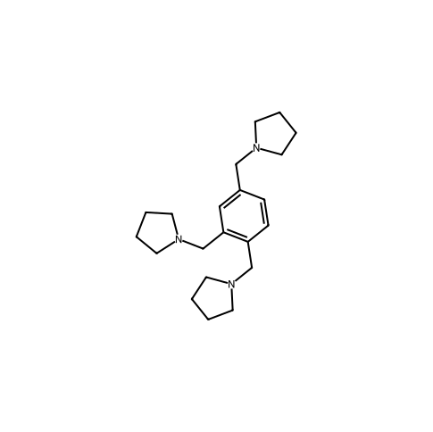 c1cc(CN2CCCC2)c(CN2CCCC2)cc1CN1CCCC1